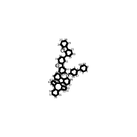 c1ccc(-c2ccc(N(c3ccc4oc5ccc(-c6cccc7c6oc6ccccc67)cc5c4c3)c3cccc4c3-c3ccccc3C43c4ccccc4-c4ccccc4-c4ccccc43)cc2)cc1